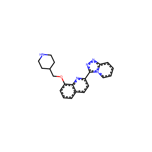 c1cc(OCC2CCNCC2)c2nc(-c3nnc4ccccn34)ccc2c1